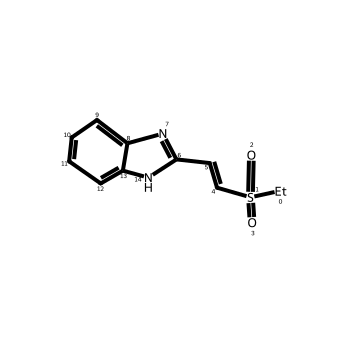 CCS(=O)(=O)C=Cc1nc2ccccc2[nH]1